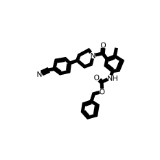 Cc1ccc(NC(=O)OCc2ccccc2)cc1C(=O)N1CCC(c2ccc(C#N)cc2)CC1